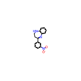 O=[N+]([O-])c1cccc(C2=Nc3ccccc3NCC2)c1